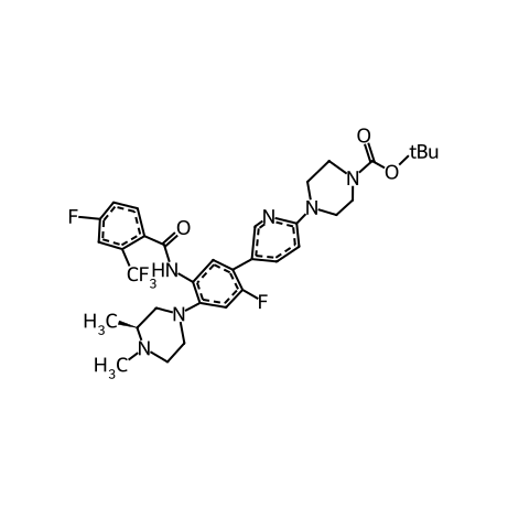 C[C@H]1CN(c2cc(F)c(-c3ccc(N4CCN(C(=O)OC(C)(C)C)CC4)nc3)cc2NC(=O)c2ccc(F)cc2C(F)(F)F)CCN1C